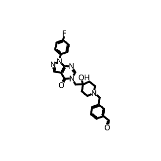 O=Cc1cccc(CN2CCC(O)(Cn3cnc4c(cnn4-c4ccc(F)cc4)c3=O)CC2)c1